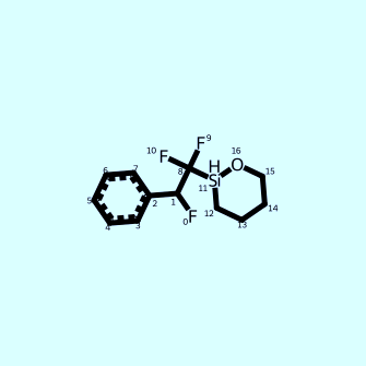 FC(c1ccccc1)C(F)(F)[SiH]1CCCCO1